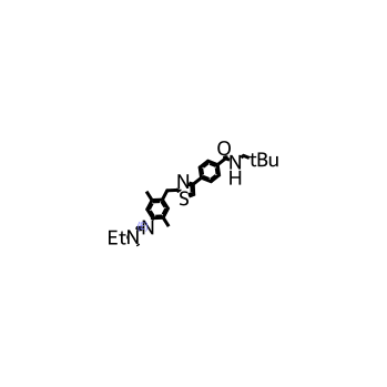 CCN(C)/C=N/c1cc(C)c(Cc2nc(-c3ccc(C(=O)NCC(C)(C)C)cc3)cs2)cc1C